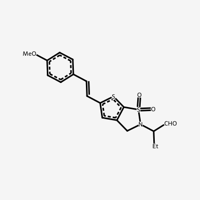 CCC(C=O)N1Cc2cc(C=Cc3ccc(OC)cc3)sc2S1(=O)=O